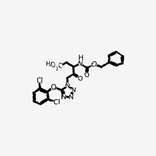 O=C(O)CC(NC(=O)OCc1ccccc1)C(=O)Cn1nnnc1Oc1c(Cl)cccc1Cl